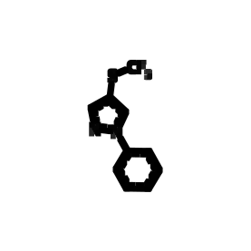 FC(F)(F)Sc1cnn(-c2ccccc2)c1